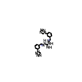 N=C(N/N=C/c1cccc(-n2cnnn2)c1)N/N=C/c1cccc(-n2cnnn2)c1